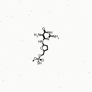 COP(=O)(S)OCC1CCC(Nc2nc(N)[nH]c(=O)c2N)O1